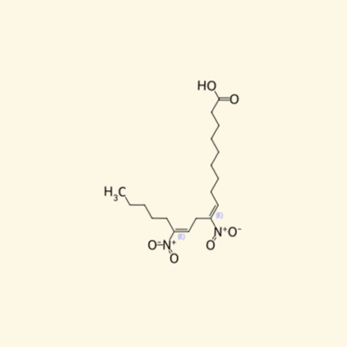 CCCCC/C(=C\C/C(=C\CCCCCCCC(=O)O)[N+](=O)[O-])[N+](=O)[O-]